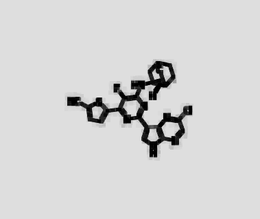 N#Cc1ccc(-c2nc(-c3c[nH]c4ncc(Cl)nc34)nc(N[C@@H]3CC4CCC3CC4)c2F)s1